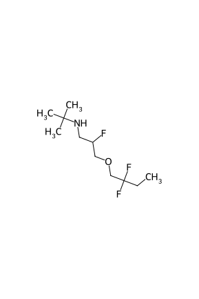 CCC(F)(F)COCC(F)CNC(C)(C)C